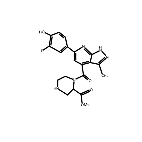 COC(=O)C1CNCCN1C(=O)c1cc(-c2ccc(O)c(F)c2)nc2[nH]nc(C)c12